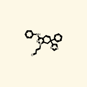 O=CC=Cn1nc(Nc2ccccc2)c2c1CC(c1ccccc1)(c1cscn1)C=C2